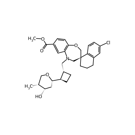 COC(=O)c1ccc2c(c1)N(C[C@@H]1CC[C@H]1[C@@H]1C[C@H](O)[C@H](C)CO1)C[C@@]1(CCCc3cc(Cl)ccc31)CO2